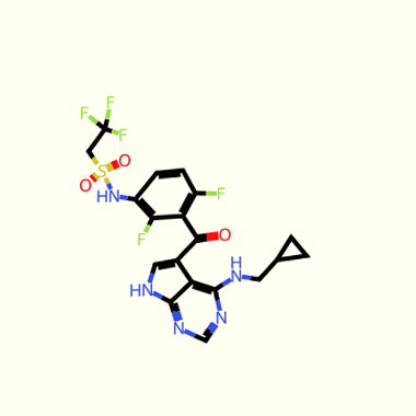 O=C(c1c(F)ccc(NS(=O)(=O)CC(F)(F)F)c1F)c1c[nH]c2ncnc(NCC3CC3)c12